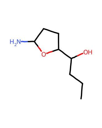 CCCC(O)C1CCC(N)O1